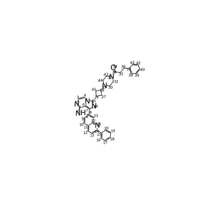 Nc1nccn2c1c(-c1ccc3ccc(-c4ccccc4)nc3c1)nc2[C@H]1C[C@@H](N2CCN(C(=O)CCc3ccccc3)CC2)C1